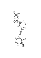 Cc1c(Br)cccc1C#CC1CCCN(C(=O)OC(C)(C)C)C1